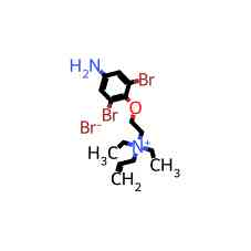 C=CC[N+](CC)(CC)CCOc1c(Br)cc(N)cc1Br.[Br-]